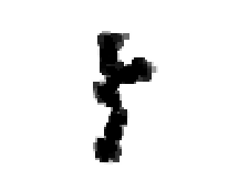 Cc1nnc(-c2ccc(C(C)(C)OCCC(C)(C)n3nncc3CC(OC(=O)Oc3ccc([N+](=O)[O-])cc3)c3ccc([N+](=O)[O-])cc3)cc2)nn1